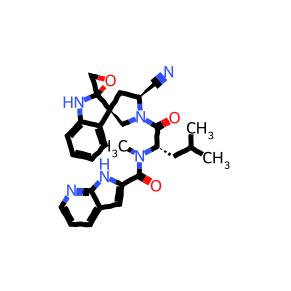 CC(C)C[C@@H](C(=O)N1C[C@@]2(C[C@H]1C#N)c1ccccc1NC21CO1)N(C)C(=O)c1cc2cccnc2[nH]1